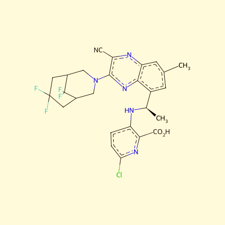 Cc1cc([C@@H](C)Nc2ccc(Cl)nc2C(=O)O)c2nc(N3CC4CC(F)(F)CC(C3)C4(F)F)c(C#N)nc2c1